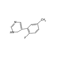 Cc1ccc(F)c(C2=CN=[C]NC2)c1